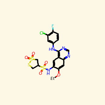 CCOc1cc2ncnc(Nc3ccc(F)c(Cl)c3)c2cc1NS(=O)(=O)C1CSS(=O)(=O)C1